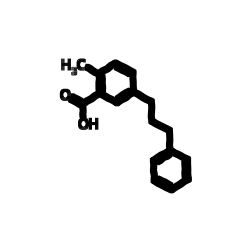 Cc1ccc(CCCc2ccccc2)cc1C(=O)O